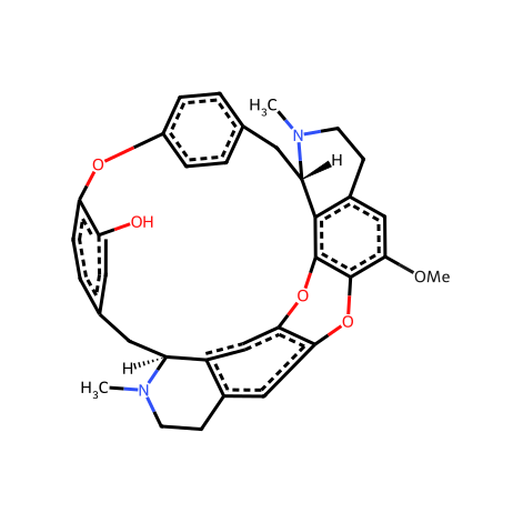 COc1cc2c3c4c1Oc1cc5c(cc1O4)[C@H](Cc1ccc(c(O)c1)Oc1ccc(cc1)C[C@@H]3N(C)CC2)N(C)CC5